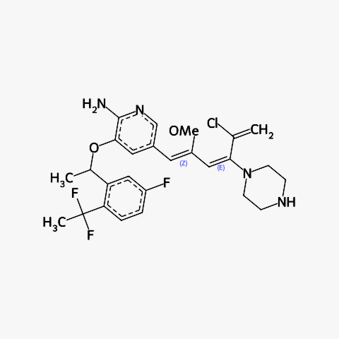 C=C(Cl)/C(=C\C(=C\c1cnc(N)c(OC(C)c2cc(F)ccc2C(C)(F)F)c1)OC)N1CCNCC1